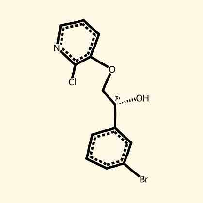 O[C@@H](COc1cccnc1Cl)c1cccc(Br)c1